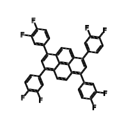 Fc1ccc(-c2cc(-c3ccc(F)c(F)c3)c3ccc4c(-c5ccc(F)c(F)c5)cc(-c5ccc(F)c(F)c5)c5ccc2c3c54)cc1F